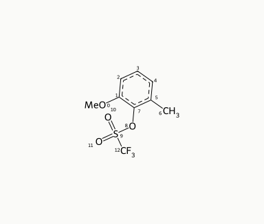 COc1cccc(C)c1OS(=O)(=O)C(F)(F)F